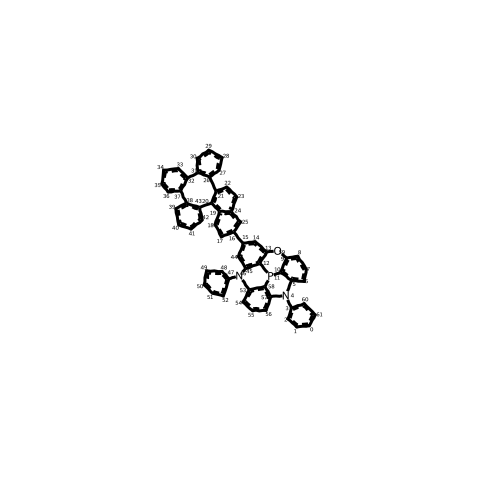 c1ccc(N2c3cccc4c3P3c5c(cc(-c6ccc7c8c(ccc7c6)-c6ccccc6-c6ccccc6-c6ccccc6-8)cc5N(c5ccccc5)c5cccc2c53)O4)cc1